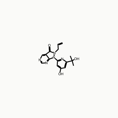 C=CCn1c(=O)c2cncnc2n1-c1cc(O)cc(C(C)(C)O)n1